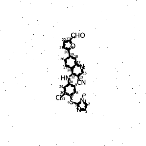 Cn1ccnc1Sc1ccc(Nc2c(C#N)cnc3cc(-c4ccc(C=O)o4)ccc23)cc1Cl